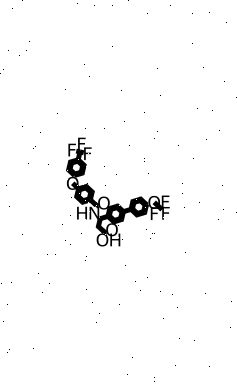 O=C(O)CC(NC(=O)c1ccc(Oc2ccc(C(F)(F)F)cc2)cc1)c1ccc(-c2ccc(OC(F)(F)F)cc2)cc1